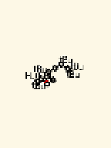 CC(C)(C)c1ccc(-c2ccccc2N(c2cc(-c3ccc(-c4cc(-c5cc(C(C)(C)C)cc(C(C)(C)C)c5)cc(C(C)(C)C)c4)cc3)cc(C(C)(C)C)c2)c2ccc3c(c2)C(C)(C)c2ccccc2-3)cc1